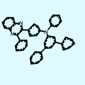 c1ccc(-c2cc(-c3ccccc3)cc(N(c3ccccc3)c3ccc(-c4nc5ccccc5nc4-c4ccccc4)cc3)c2)cc1